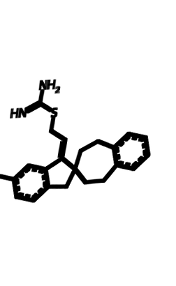 N=C(N)SCC=C1c2cc(Br)ccc2CC12CCc1ccccc1CC2